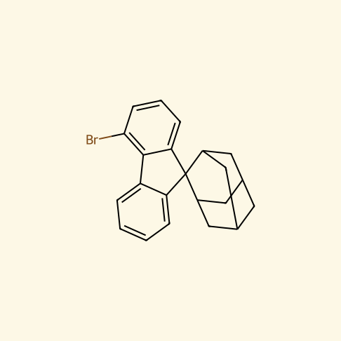 Brc1cccc2c1-c1ccccc1C21C2CC3CC(C2)CC1C3